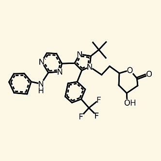 CC(C)(C)c1nc(-c2ccnc(Nc3ccccc3)n2)c(-c2cccc(C(F)(F)F)c2)n1CCC1CC(O)CC(=O)O1